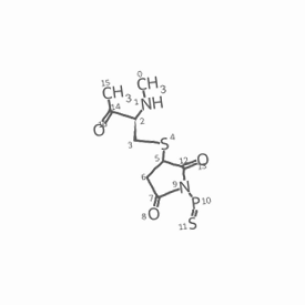 CN[C@@H](CSC1CC(=O)N(P=S)C1=O)C(C)=O